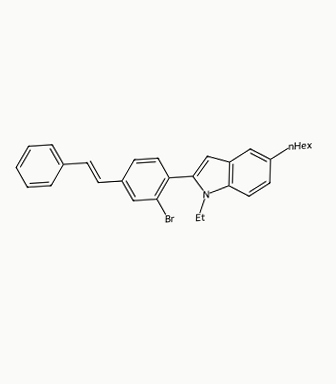 CCCCCCc1ccc2c(c1)cc(-c1ccc(C=Cc3ccccc3)cc1Br)n2CC